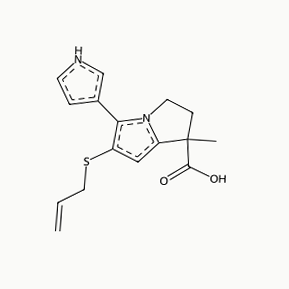 C=CCSc1cc2n(c1-c1cc[nH]c1)CCC2(C)C(=O)O